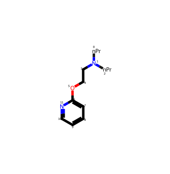 CCCN(CCC)CCOc1ccccn1